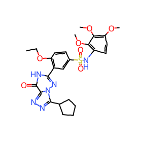 CCOc1ccc(S(=O)(=O)Nc2ccc(OC)c(OC)c2OC)cc1-c1nn2c(C3CCCC3)nnc2c(=O)[nH]1